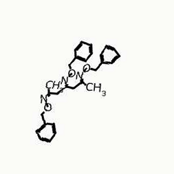 CC(CC(CC(C)=NOCc1ccccc1)=NOCc1ccccc1)=NOCc1ccccc1